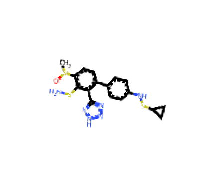 C[S+]([O-])c1ccc(-c2ccc(NSC3CC3)cc2)c(-c2nn[nH]n2)c1SN